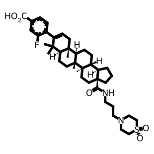 CC1(C)C(c2ccc(C(=O)O)cc2F)=CC[C@]2(C)[C@H]3CC[C@@H]4[C@H]5CCC[C@]5(C(=O)NCCCN5CCS(=O)(=O)CC5)CC[C@@]4(C)[C@]3(C)CC[C@@H]12